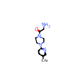 N#Cc1ccc(N2CCN(C(=O)CN)CC2)nc1